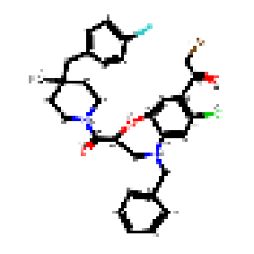 N#CC1(Cc2ccc(F)cc2)CCN(C(=O)C2CN(Cc3ccccc3)c3cc(Cl)c(C(=O)CBr)cc3O2)CC1